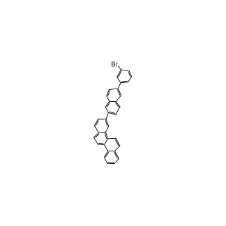 Brc1cccc(-c2ccc3cc(-c4ccc5ccc6c7ccccc7ccc6c5c4)ccc3c2)c1